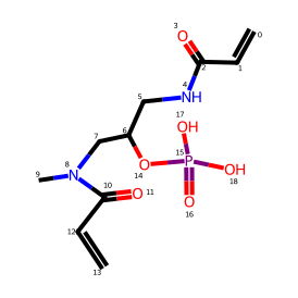 C=CC(=O)NCC(CN(C)C(=O)C=C)OP(=O)(O)O